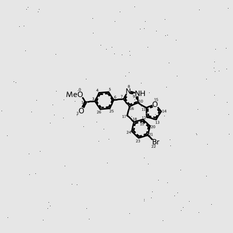 COC(=O)c1ccc(-c2n[nH]c(-c3ccco3)c2Cc2ccc(Br)cc2)cc1